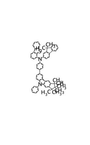 CC1(C)c2ccccc2-c2ccc(N(c3ccc(-c4ccc5c(c4)c4cc6c(cc4n5-c4ccccc4)C(C)(C)C(C)(C)C6(C)C)cc3)c3cccc4c3sc3ccccc34)cc21